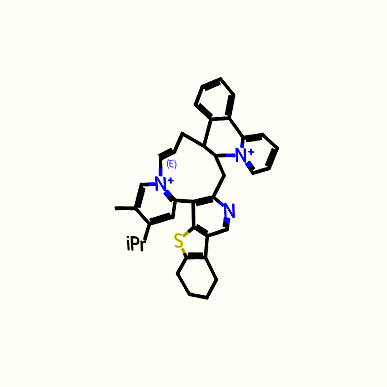 Cc1c[n+]2c(cc1C(C)C)-c1c(ncc3c4c(sc13)CCCC4)CC1C(C/C=C/2)c2ccccc2-c2cccc[n+]21